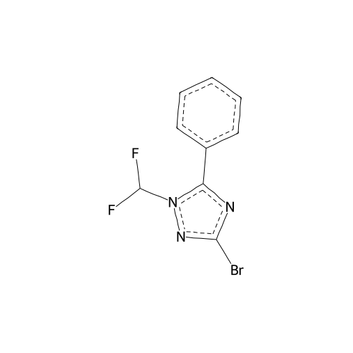 FC(F)n1nc(Br)nc1-c1ccccc1